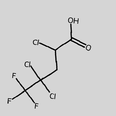 O=C(O)C(Cl)CC(Cl)(Cl)C(F)(F)F